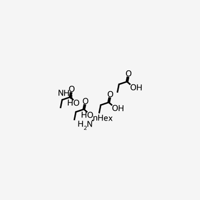 CCC(=O)O.CCC(=O)O.CCC(=O)O.CCC(=O)O.CCCCCCN.N